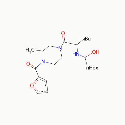 CCCCCCC(O)NC(C(=O)N1CCN(C(=O)c2ccco2)C(C)C1)C(C)CC